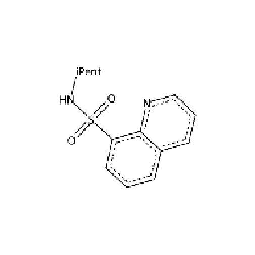 CCCC(C)NS(=O)(=O)c1cccc2cccnc12